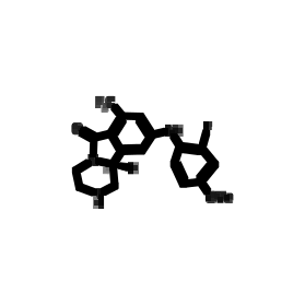 COc1ccc(Nc2cc3c(c(C(F)(F)F)c2)C(=O)N2CCNC[C@@H]32)c(F)c1